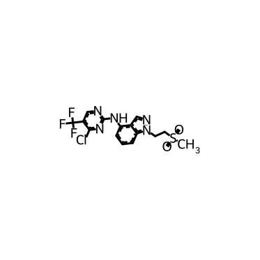 CS(=O)(=O)CCn1ncc2c(Nc3ncc(C(F)(F)F)c(Cl)n3)cccc21